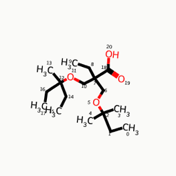 CCC(C)(C)OCC(CC)(COC(C)(CC)CC)C(=O)O